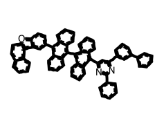 c1ccc(-c2cccc(-c3cc(-c4c5ccccc5c(-c5c6ccccc6c(-c6ccc7oc8ccc9ccccc9c8c7c6)c6ccccc56)c5ccccc45)nc(-c4ccccc4)n3)c2)cc1